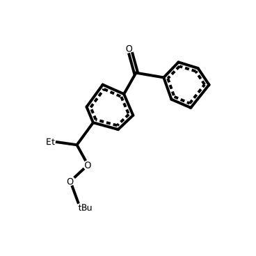 CCC(OOC(C)(C)C)c1ccc(C(=O)c2ccccc2)cc1